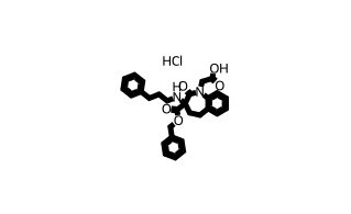 Cl.O=C(O)CN1C(=O)C(NCCCc2ccccc2)(C(=O)OCc2ccccc2)CCc2ccccc21